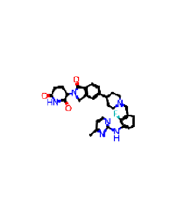 Cc1ccnc(Nc2cccc(CN3CCC(c4ccc5c(c4)CN(C4CCC(=O)NC4=O)C5=O)CC3)c2F)n1